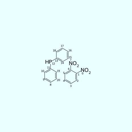 O=[N+]([O-])c1ccccc1[N+](=O)[O-].c1ccc(Pc2ccccc2)cc1